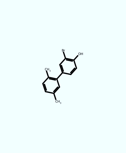 Cc1ccc(C)c(-c2ccc(O)c(Br)c2)c1